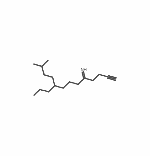 C#CCCC(=N)CCCC(CCC)CCC(C)C